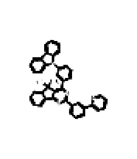 CC1(C)c2ccccc2-c2nc(-c3cccc(-c4ccccn4)c3)nc(-c3cccc(-n4c5ccccc5c5ccccc54)c3)c21